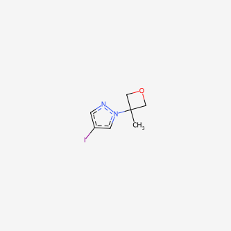 CC1(n2cc(I)cn2)COC1